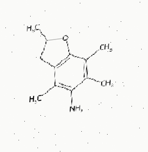 C[C]1Cc2c(C)c(N)c(C)c(C)c2O1